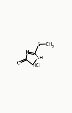 CSC1=NC(=O)CN1.Cl